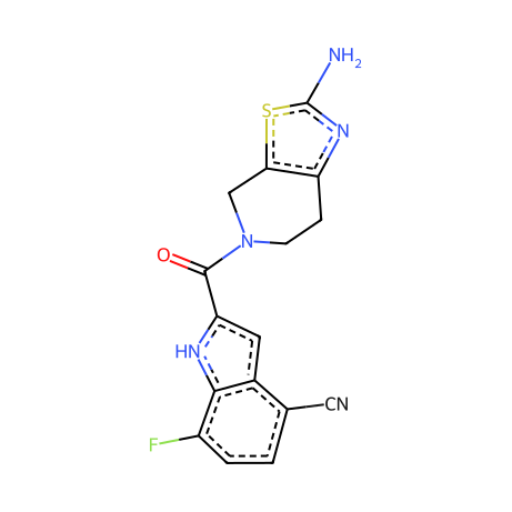 N#Cc1ccc(F)c2[nH]c(C(=O)N3CCc4nc(N)sc4C3)cc12